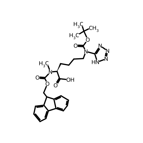 CN(C(=O)OCC1c2ccccc2-c2ccccc21)[C@@H](CCCCN(C(=O)OC(C)(C)C)c1nnn[nH]1)C(=O)O